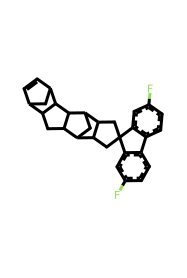 Fc1ccc2c(c1)C1(CC3C(C1)C1CC3C3CC4C5C=CC(C5)C4C13)c1cc(F)ccc1-2